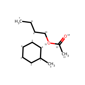 CC1CCCCC1.CCCCOC(C)=O